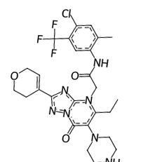 CCc1c(N2CCNCC2)c(=O)n2nc(C3=CCOCC3)nc2n1CC(=O)Nc1cc(C(F)(F)F)c(Cl)cc1C